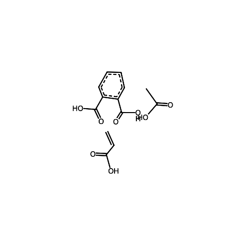 C=CC(=O)O.CC(=O)O.O=C(O)c1ccccc1C(=O)O